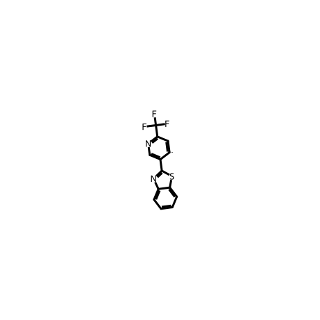 FC(F)(F)c1c[c]c(-c2nc3ccccc3s2)cn1